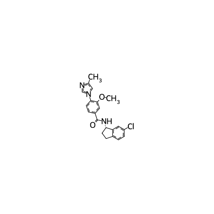 COc1cc(C(=O)N[C@H]2CCc3ccc(Cl)cc32)ccc1-n1cnc(C)c1